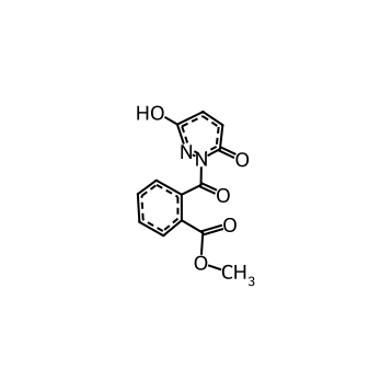 COC(=O)c1ccccc1C(=O)n1nc(O)ccc1=O